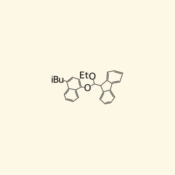 CCOC(Oc1ccc(C(C)CC)c2ccccc12)C1c2ccccc2-c2ccccc21